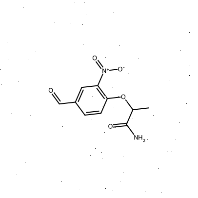 CC(Oc1ccc(C=O)cc1[N+](=O)[O-])C(N)=O